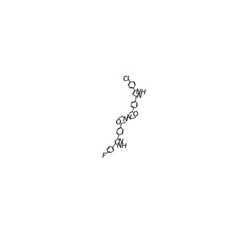 Fc1ccc(-c2cc(-c3ccc(C4CN(N5CCOC(c6ccc(-c7cc(-c8ccc(Cl)cc8)[nH]n7)cc6)C5)CCO4)cc3)n[nH]2)cc1